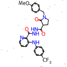 COc1ccc(CN2CCC(C(=O)NNC(=O)c3ncccc3Nc3ccc(C(F)(F)F)cc3)C2=O)cc1